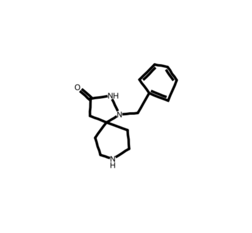 O=C1CC2(CCNCC2)N(Cc2ccccc2)N1